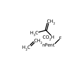 C=C.C=C(C)C(=O)O.CCCCCF